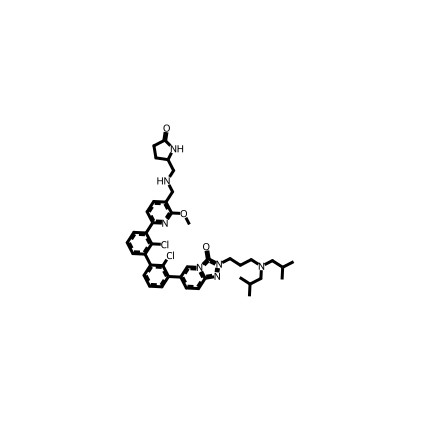 COc1nc(-c2cccc(-c3cccc(-c4ccc5nn(CCCN(CC(C)C)CC(C)C)c(=O)n5c4)c3Cl)c2Cl)ccc1CNCC1CCC(=O)N1